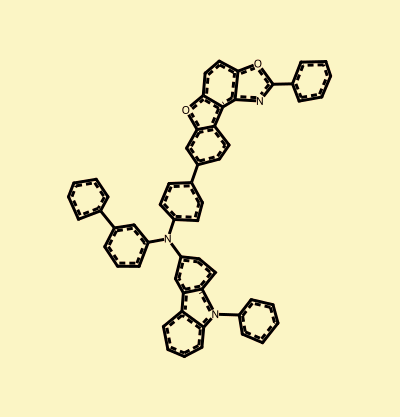 c1ccc(-c2cccc(N(c3ccc(-c4ccc5c(c4)oc4ccc6oc(-c7ccccc7)nc6c45)cc3)c3ccc4c(c3)c3ccccc3n4-c3ccccc3)c2)cc1